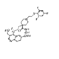 COc1ccc2ncc(CO)c([C@H](F)CCC3(C(=O)NO)CCN(CCSc4c(F)cc(F)cc4F)CC3)c2c1